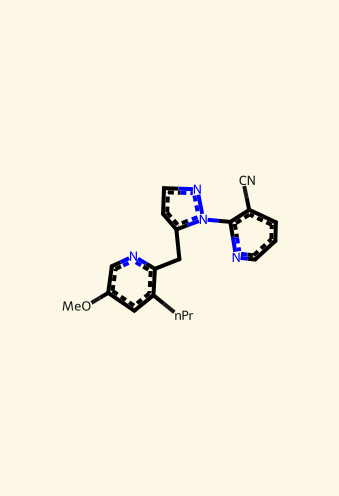 CCCc1cc(OC)cnc1Cc1ccnn1-c1ncccc1C#N